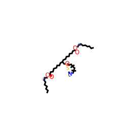 CCCCCC/C=C\COC(=O)CCCCCCCC(CCCCCCCC(=O)OC/C=C\CCCCCC)COC(=S)CC(C)(C)CC(C)(C)CN(C)C